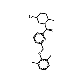 CCC1CCC(C)N(C(=O)c2cccc(COc3c(C)cccc3C)n2)C1